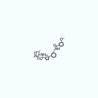 CNC(=O)[C@@H](NC(=O)c1ccc(-c2cccc(CNC(=O)c3cccc(OC)c3)c2)o1)C(C)C